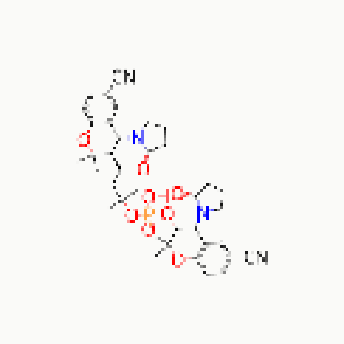 CC(C)(CC[C@@H]1[C@@H](N2CCCC2=O)c2cc(C#N)ccc2OC1(C)C)OP(=O)(O)O[C@@H]1[C@@H](N2CCCC2=O)c2cc(C#N)ccc2OC1(C)C